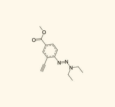 C#Cc1cc(C(=O)OC)ccc1/N=N/N(CC)CC